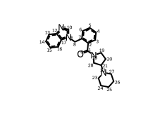 O=C(c1ccccc1Cn1cnc2ccccc21)N1CCC(N2CCCCC2)C1